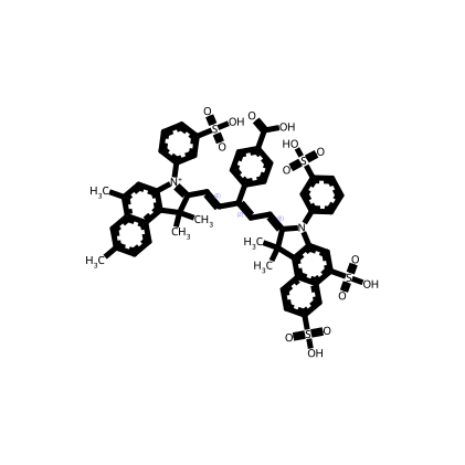 Cc1ccc2c3c(cc(C)c2c1)[N+](c1cccc(S(=O)(=O)O)c1)=C(/C=C/C(=C/C=C1/N(c2cccc(S(=O)(=O)O)c2)c2cc(S(=O)(=O)O)c4cc(S(=O)(=O)O)ccc4c2C1(C)C)c1ccc(C(=O)O)cc1)C3(C)C